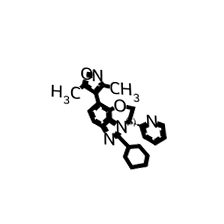 Cc1noc(C)c1-c1ccc2nc(C3CCCCC3)n3c2c1OC[C@@H]3c1ccccn1